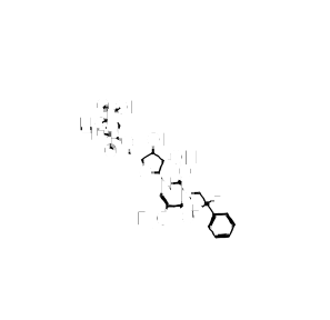 O=c1c(C(F)(F)F)cn([C@@H]2O[C@H](COP(=O)(O)CP(=O)(O)O)C(O)[C@@H]2O)c(=O)n1CC(F)(F)c1ccccc1